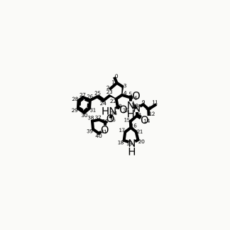 CC(C)C[C@@H](C(=O)NN(CC(C)C)C(=O)CC1CCNCC1)[C@H](CC=Cc1ccccc1)C(=O)NOC1CCCCO1